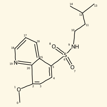 COc1ccc(S(=O)(=O)NCCC(C)C)c2cccnc12